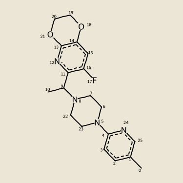 Cc1ccc(N2CCN(C(C)c3nc4c(cc3F)OCCO4)CC2)nc1